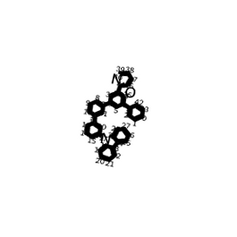 c1ccc(-c2cc(-c3cccc(-c4cccc(-n5c6ccccc6c6ccccc65)c4)c3)cc3c2oc2cccnc23)cc1